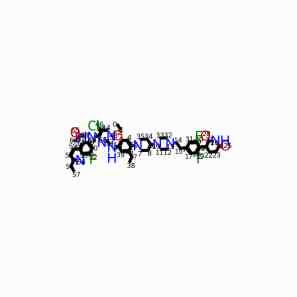 CCOc1cc(N2CCC(N3CCN(CCc4cc(F)c(C5CCC(=O)NC5=O)c(F)c4)CC3)CC2)c(CC)cc1Nc1ncc(Cl)c(Nc2cc(F)c3nc(CC)ccc3c2P(C)(C)=O)n1